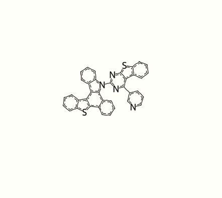 c1cncc(-c2nc(-n3c4ccccc4c4c5c6ccccc6sc5c5ccccc5c43)nc3sc4ccccc4c23)c1